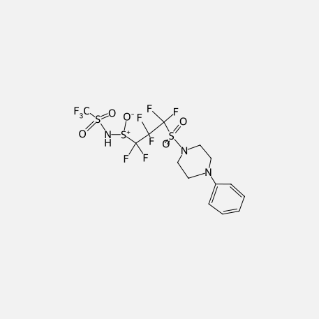 O=S(=O)(N[S+]([O-])C(F)(F)C(F)(F)C(F)(F)S(=O)(=O)N1CCN(c2ccccc2)CC1)C(F)(F)F